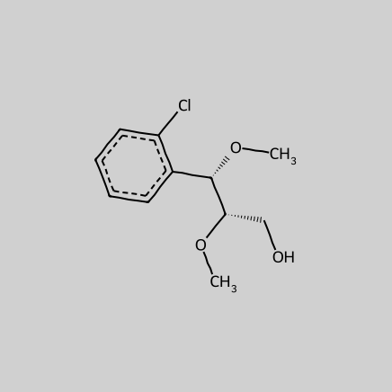 CO[C@@H](CO)[C@@H](OC)c1ccccc1Cl